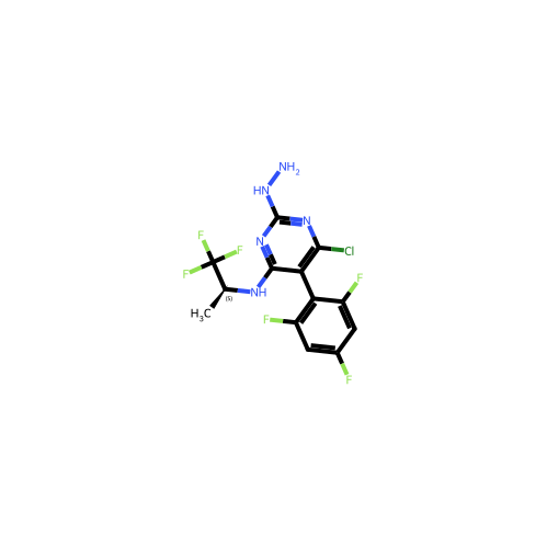 C[C@H](Nc1nc(NN)nc(Cl)c1-c1c(F)cc(F)cc1F)C(F)(F)F